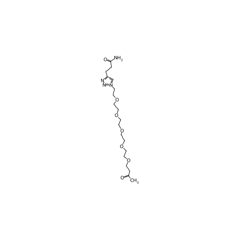 CC(=O)CCOCCOCCOCCOCCOCCn1cc(CCC(N)=O)nn1